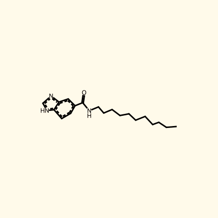 CCCCCCCCCCCNC(=O)c1ccc2[nH]cnc2c1